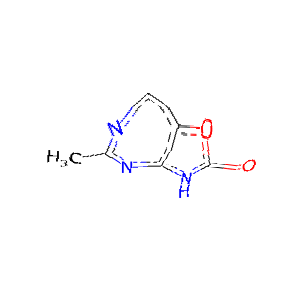 Cc1ncc2oc(=O)[nH]c2n1